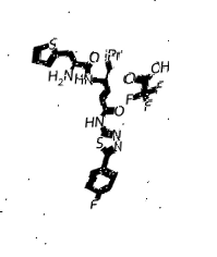 CC(C)C[C@@H](C=CC(=O)Nc1nnc(-c2ccc(F)cc2)s1)NC(=O)[C@@H](N)Cc1cccs1.O=C(O)C(F)(F)F